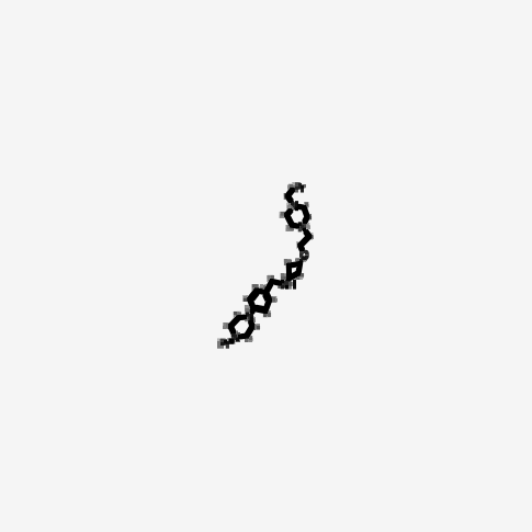 CC(C)CN1CCN(CCO[C@H]2C[C@H](NCc3ccc(N4CCN(C(C)C)CC4)cc3)C2)CC1